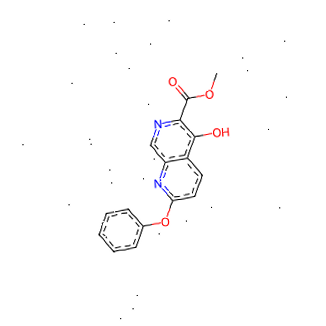 COC(=O)c1ncc2nc(Oc3ccccc3)ccc2c1O